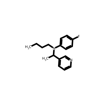 CCCCN(c1ccc(F)cc1)C(C)c1cccnc1